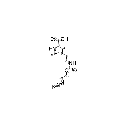 CCC(O)C(CCCCNC(=O)OCCN=[N+]=[N-])NC(C)C